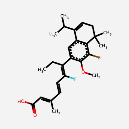 CCC(=C(F)C=CC(C)=CC(=O)O)c1cc2c(c(Br)c1OC)C(C)(C)CC=C2C(C)C